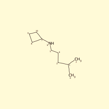 CC(C)CCCNC1CCC1